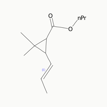 C/C=C/C1C(C(=O)OCCC)C1(C)C